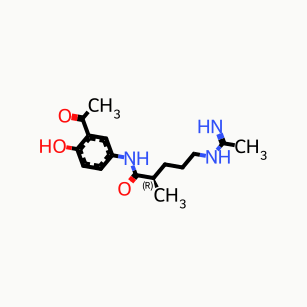 CC(=N)NCCC[C@@H](C)C(=O)Nc1ccc(O)c(C(C)=O)c1